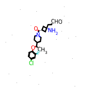 CC(Oc1ccc(Cl)cc1F)C1CCN(C(=O)[C@H]2C[C@](N)(CCC=O)C2)CC1